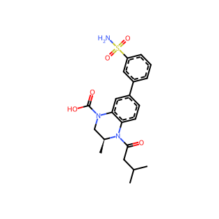 CC(C)CC(=O)N1c2ccc(-c3cccc(S(N)(=O)=O)c3)cc2N(C(=O)O)C[C@@H]1C